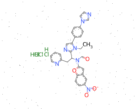 CCn1c(-c2ccc(-n3ccnc3)cc2)cnc1C(Cc1ccccn1)N(C=O)c1cc2cc([N+](=O)[O-])ccc2o1.Cl.Cl.Cl